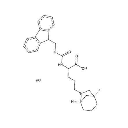 C[C@]12CCC[C@H](C1)N(CCC[C@H](NC(=O)OCC1c3ccccc3-c3ccccc31)C(=O)O)C2.Cl